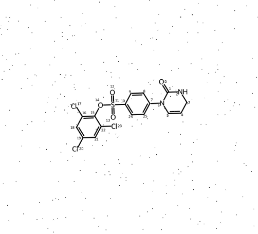 O=C1NCC=CN1c1ccc(S(=O)(=O)Oc2c(Cl)cc(Cl)cc2Cl)cc1